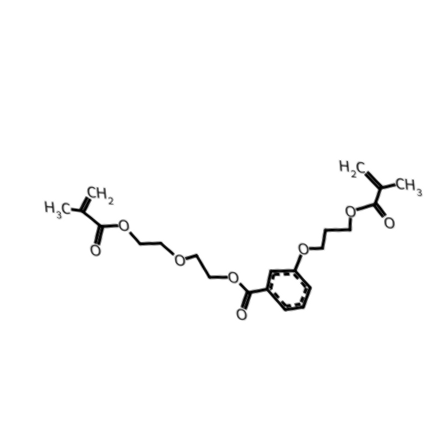 C=C(C)C(=O)OCCCOc1cccc(C(=O)OCCOCCOC(=O)C(=C)C)c1